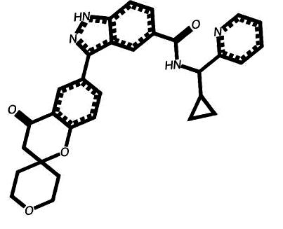 O=C(NC(c1ccccn1)C1CC1)c1ccc2[nH]nc(-c3ccc4c(c3)C(=O)CC3(CCOCC3)O4)c2c1